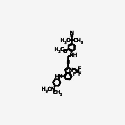 COc1cc(C(C)(C)C#N)ccc1NCC#Cc1cc2c(NC3CCC(N(C)C)CC3)cccc2n1CC(F)(F)F